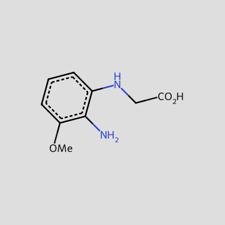 COc1cccc(NCC(=O)O)c1N